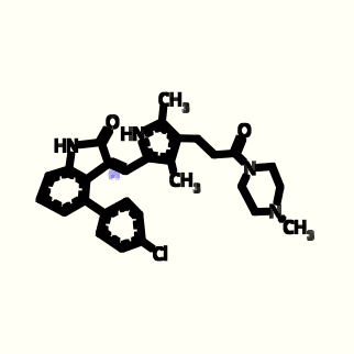 Cc1[nH]c(/C=C2\C(=O)Nc3cccc(-c4ccc(Cl)cc4)c32)c(C)c1CCC(=O)N1CCN(C)CC1